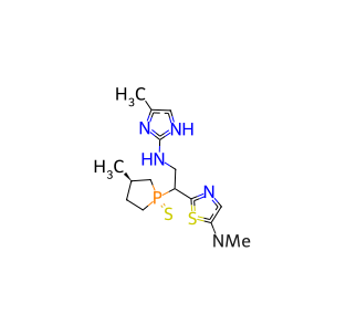 CNc1cnc(C(CNc2nc(C)c[nH]2)P2(=S)CC[C@@H](C)C2)s1